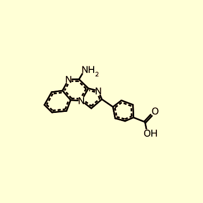 Nc1nc2ccccc2n2cc(-c3ccc(C(=O)O)cc3)nc12